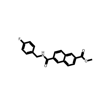 COC(=O)c1ccc2cc(C(=O)NCc3ccc(F)cc3)ccc2c1